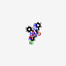 O=C(N[C@@H](Cc1ccccc1)C(=O)NCC1CC(Cl)=NO1)c1ccccc1